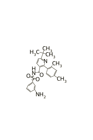 Cc1ccc(-c2nc(C(C)(C)C)ccc2C(=O)NS(=O)(=O)c2cccc(N)c2)c(C)c1